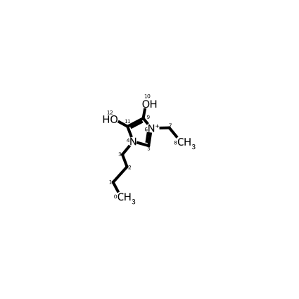 CCCCn1c[n+](CC)c(O)c1O